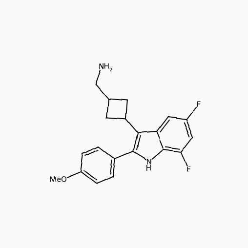 COc1ccc(-c2[nH]c3c(F)cc(F)cc3c2C2CC(CN)C2)cc1